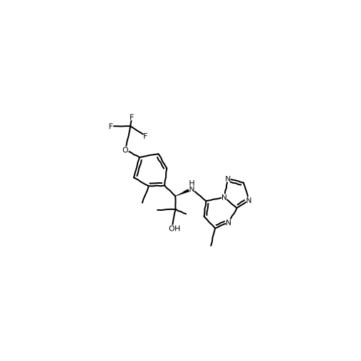 Cc1cc(N[C@H](c2ccc(OC(F)(F)F)cc2C)C(C)(C)O)n2ncnc2n1